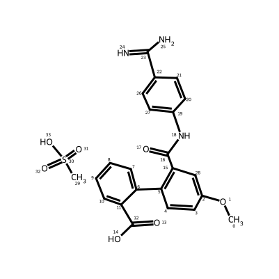 COc1ccc(-c2ccccc2C(=O)O)c(C(=O)Nc2ccc(C(=N)N)cc2)c1.CS(=O)(=O)O